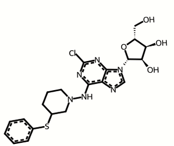 OC[C@H]1O[C@@H](n2cnc3c(NN4CCCC(Sc5ccccc5)C4)nc(Cl)nc32)[C@H](O)[C@@H]1O